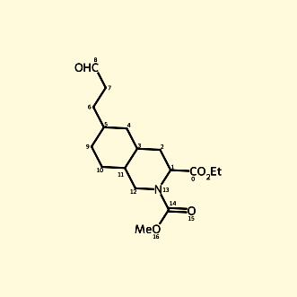 CCOC(=O)C1CC2CC(CCC=O)CCC2CN1C(=O)OC